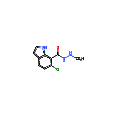 O=C(O)NNC(=O)c1c(Cl)ccc2cc[nH]c12